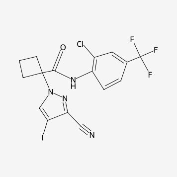 N#Cc1nn(C2(C(=O)Nc3ccc(C(F)(F)F)cc3Cl)CCC2)cc1I